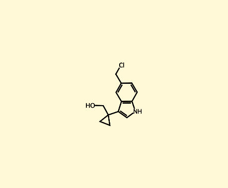 OCC1(c2c[nH]c3ccc(CCl)cc23)CC1